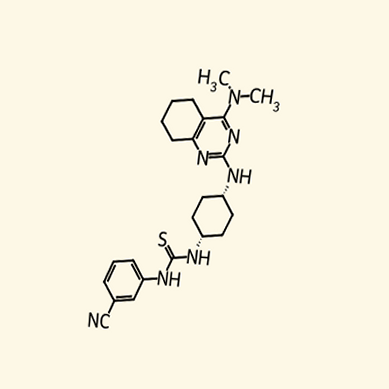 CN(C)c1nc(N[C@H]2CC[C@@H](NC(=S)Nc3cccc(C#N)c3)CC2)nc2c1CCCC2